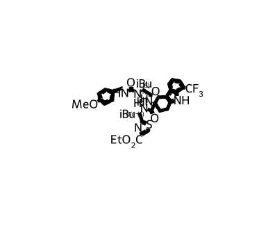 CCOC(=O)c1csc([C@@H](NC(=O)[C@]2(NC(=O)[C@@H](NC(=O)NCc3ccc(OC)cc3)[C@@H](C)CC)CCc3[nH]c4c(C(F)(F)F)cccc4c3C2)[C@@H](C)CC)n1